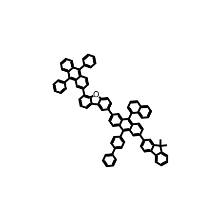 CC1(C)c2ccccc2-c2ccc(-c3ccc4c(-c5cccc6ccccc56)c5cc(-c6ccc7oc8c(-c9ccc%10c(-c%11ccccc%11)c%11ccccc%11c(-c%11ccccc%11)c%10c9)cccc8c7c6)ccc5c(-c5ccc(-c6ccccc6)cc5)c4c3)cc21